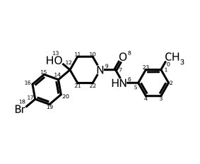 Cc1cccc(NC(=O)N2CCC(O)(c3ccc(Br)cc3)CC2)c1